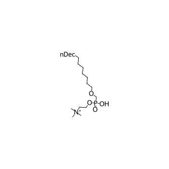 CCCCCCCCCCCCCCCCCOCP(=O)(O)OCC[N+](C)(C)C